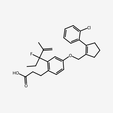 C=C(C)C(F)(CC)c1cc(OCC2=C(c3ccccc3Cl)CCC2)ccc1CCC(=O)O